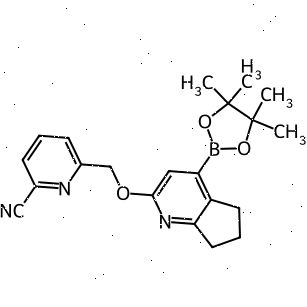 CC1(C)OB(c2cc(OCc3cccc(C#N)n3)nc3c2CCC3)OC1(C)C